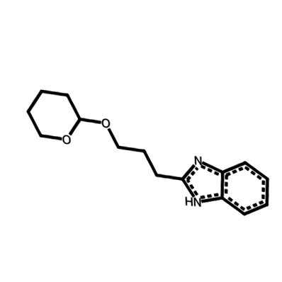 c1ccc2[nH]c(CCCOC3CCCCO3)nc2c1